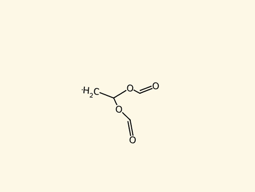 [CH2]C(OC=O)OC=O